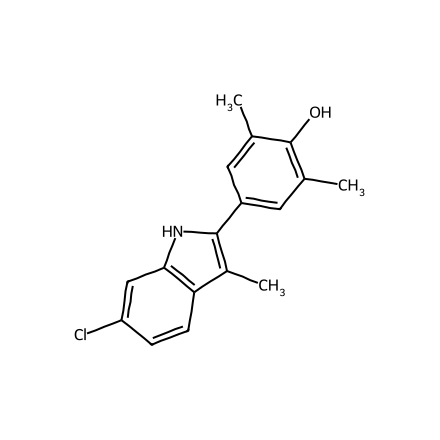 Cc1cc(-c2[nH]c3cc(Cl)ccc3c2C)cc(C)c1O